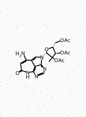 CC(=O)OC[C@H]1O[C@@H](n2cc3c4c(ncnc42)NC(=O)C=C3N)C(C)(OC(C)=O)[C@@H]1OC(C)=O